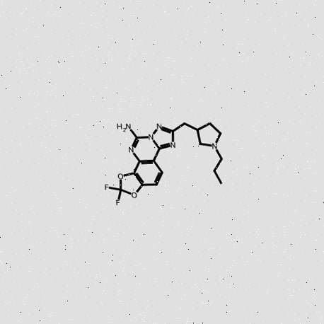 CCCN1CCC(Cc2nc3c4ccc5c(c4nc(N)n3n2)OC(F)(F)O5)C1